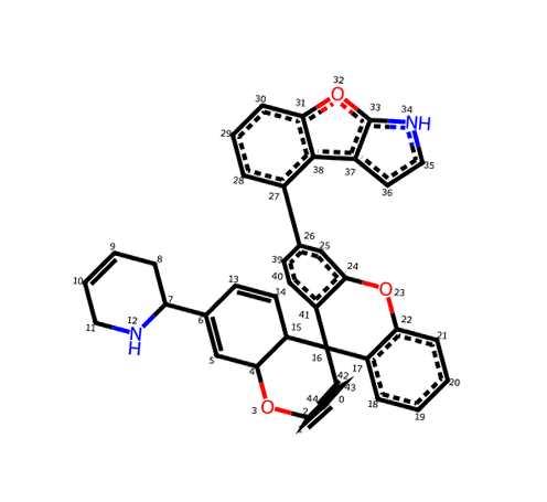 C1=CC2OC3C=C(C4CC=CCN4)C=CC3C3(c4ccccc4Oc4cc(-c5cccc6oc7[nH]ccc7c56)ccc43)C2C=C1